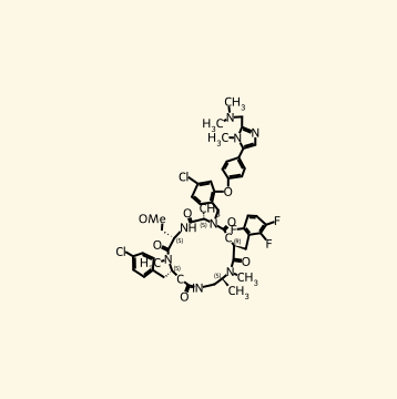 COC[C@@H]1NC(=O)[C@H](C)N(Cc2ccc(Cl)cc2Oc2ccc(-c3cnc(CN(C)C)n3C)cc2)C(=O)C[C@@H](Cc2c(F)ccc(F)c2F)C(=O)N(C)[C@@H](C)CNC(=O)C[C@H](Cc2ccc(Cl)cc2)N(C)C1=O